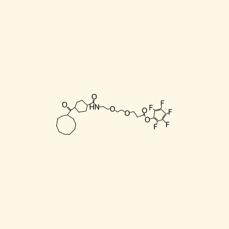 O=C(CCOCCOCCNC(=O)C1CCC(C(=O)C2CCCCCCCCC2)CC1)Oc1c(F)c(F)c(F)c(F)c1F